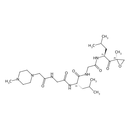 CC(C)C[C@H](NC(=O)CNC(=O)CN1CCN(C)CC1)C(=O)NCC(=O)N[C@@H](CC(C)C)C(=O)[C@@]1(C)CO1